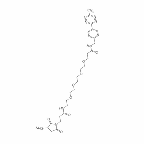 CSC1CC(=O)N(CCC(=O)NCCOCCOCCOCCOCCC(=O)NCc2ccc(-c3nnc(C)nn3)cc2)C1=O